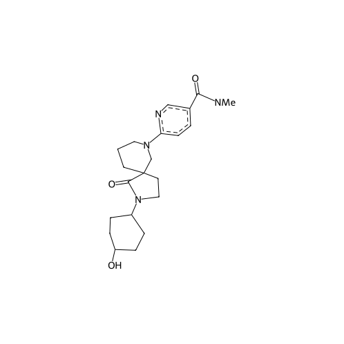 CNC(=O)c1ccc(N2CCCC3(CCN(C4CCC(O)CC4)C3=O)C2)nc1